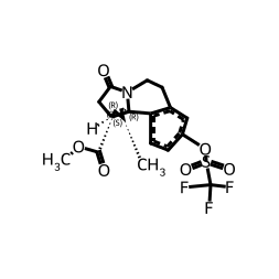 COC(=O)[C@@H]1[C@@H](C)C[C@@]23c4ccc(OS(=O)(=O)C(F)(F)F)cc4CCN2C(=O)C[C@@H]13